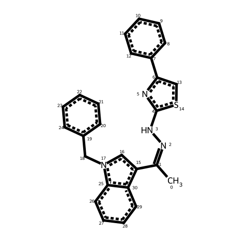 C/C(=N/Nc1nc(-c2ccccc2)cs1)c1cn(Cc2ccccc2)c2ccccc12